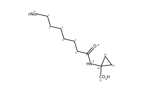 CCCCCCCCCCCCCCCC(=O)NC1(C(=O)O)CC1